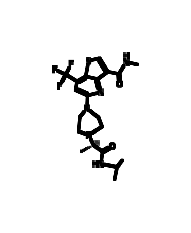 CNC(=O)c1csc2c(C(F)(F)F)cc(N3CCN([C@@H](C)C(=O)NC(C)C)CC3)nc12